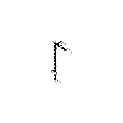 CCCCOC(=O)CCCCCCCCCCCCCCC(CC)C(CC)C(=O)OCCCC